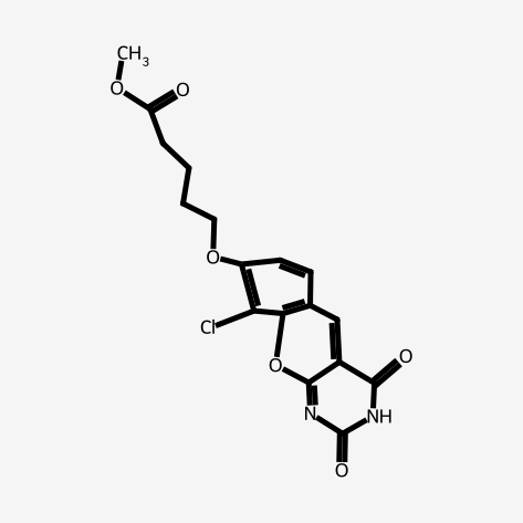 COC(=O)CCCCOc1ccc2cc3c(=O)[nH]c(=O)nc-3oc2c1Cl